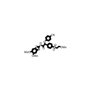 COCCS(=O)(=O)c1ccc(C(Oc2ccc(C#N)cc2)C(=O)Nc2nc3cc(OC)c(OC)cc3s2)cc1